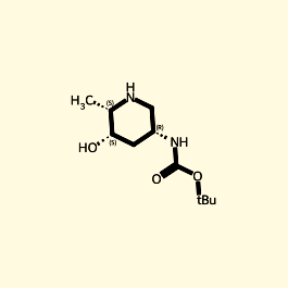 C[C@@H]1NC[C@H](NC(=O)OC(C)(C)C)C[C@@H]1O